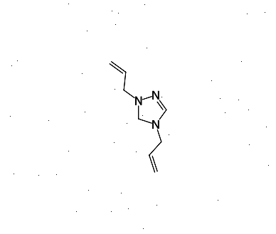 C=CCN1C=NN(CC=C)C1